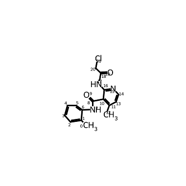 Cc1ccccc1NC(=O)c1c(C)ccnc1NC(=O)CCl